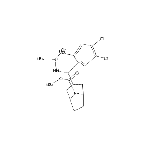 CC(C)(C)OC(=O)N1C2CCC1CC(C(N[S+]([O-])C(C)(C)C)c1cc(Cl)c(Cl)cc1O)C2